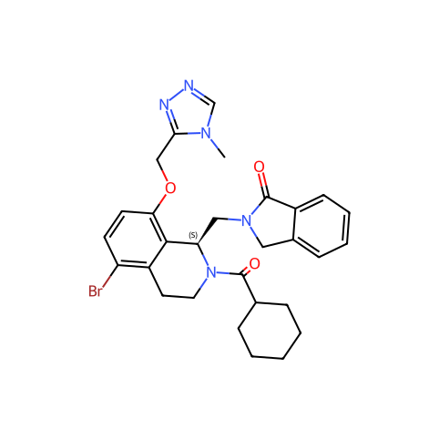 Cn1cnnc1COc1ccc(Br)c2c1[C@@H](CN1Cc3ccccc3C1=O)N(C(=O)C1CCCCC1)CC2